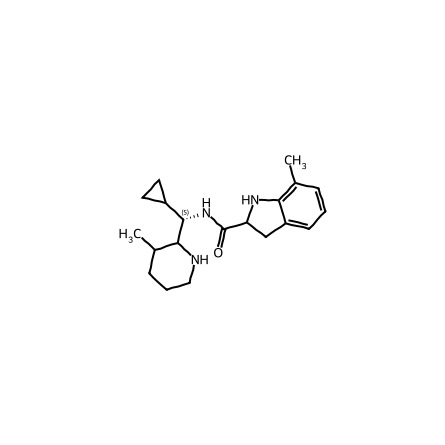 Cc1cccc2c1NC(C(=O)N[C@@H](C1CC1)C1NCCCC1C)C2